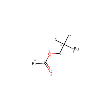 CCC(=O)OCC(C)(C)C(C)(C)C